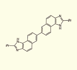 CC(C)c1nc2ccc3cc(-c4ccc5c(ccc6nc(C(C)C)[nH]c65)c4)ccc3c2[nH]1